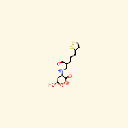 O=CC(CCCC1CCSS1)CNC(CC(=O)O)C(=O)O